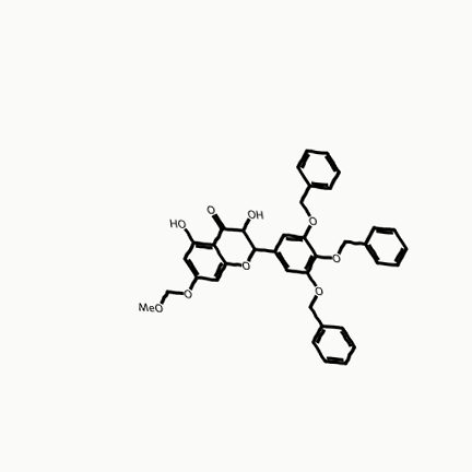 COCOc1cc(O)c2c(c1)OC(c1cc(OCc3ccccc3)c(OCc3ccccc3)c(OCc3ccccc3)c1)C(O)C2=O